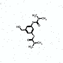 CN(C)C(=O)Sc1cc(CO)cc(SC(=O)N(C)C)c1